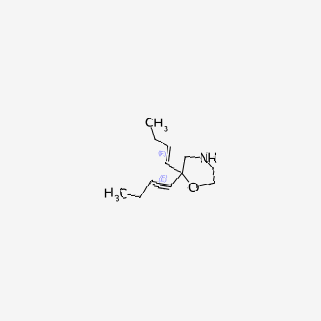 CC/C=C/C1(/C=C/CC)CNCCO1